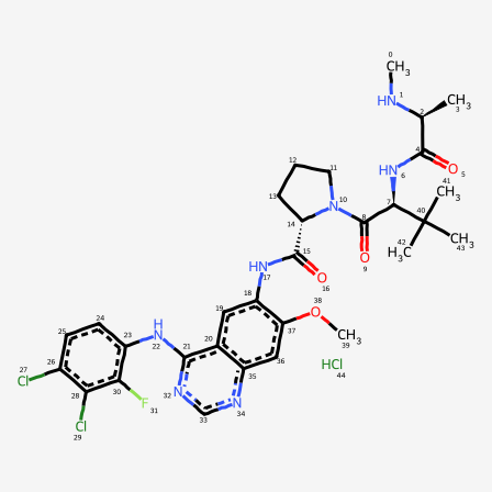 CN[C@@H](C)C(=O)N[C@H](C(=O)N1CCC[C@H]1C(=O)Nc1cc2c(Nc3ccc(Cl)c(Cl)c3F)ncnc2cc1OC)C(C)(C)C.Cl